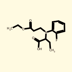 CCOC(=O)CCN(c1ccccc1F)C(CC)C(=O)O